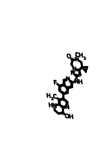 Cc1c(-c2cc(F)c3cnc(Nc4cc5n(n4)CC(=O)N(C)CC54CC4)cc3c2)cnc2c1NCC[C@@H]2O